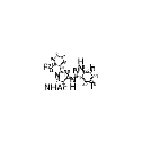 CC(=O)Nc1cnc(-c2ccccc2CF)nc1Nc1n[nH]c2c(F)cc(F)cc12